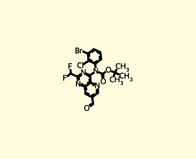 CC(C)(C)OC(=O)N(c1cccc(Br)c1Cl)c1nc(C(F)F)nc2cc(C=O)cnc12